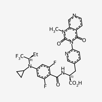 CC[C@@H](N(c1cc(F)c(C(=O)N[C@@H](Cc2ccc(-n3c(=O)c4ccncc4n(C)c3=O)nc2)C(=O)O)c(F)c1)C1CC1)C(F)(F)F